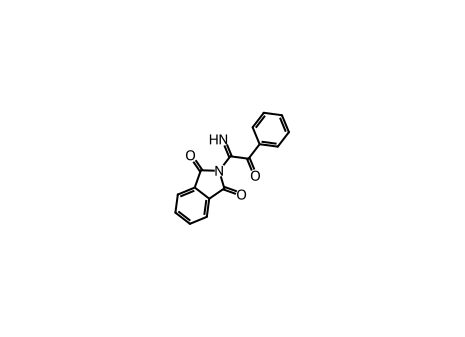 N=C(C(=O)c1ccccc1)N1C(=O)c2ccccc2C1=O